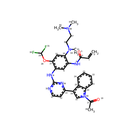 C=CC(=O)Nc1cc(Nc2nccc(-c3cn(C(C)=O)c4ccccc34)n2)c(OC(F)F)cc1N(C)CCN(C)C